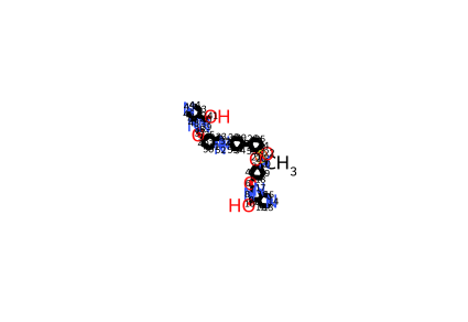 CN(c1ccc(Oc2nc(O)c3ccncc3n2)cc1)S(=O)(=O)c1cccc(-c2ccc(-n3cc4cc(Oc5nc(O)c6ccncc6n5)ccc4n3)cc2)c1